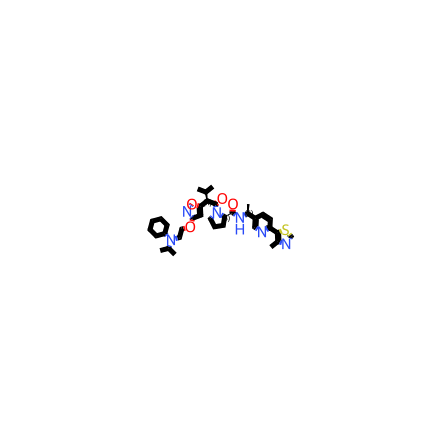 Cc1ncsc1-c1ccc([C@H](C)NC(=O)[C@@H]2CCCN2C(=O)[C@@H](c2cc(OCCN(C(C)C)C3CCCCC3)no2)C(C)C)cn1